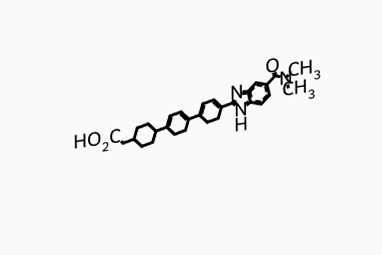 CN(C)C(=O)c1ccc2[nH]c(C3=CC=C(C4=CC=C(C5CCC(CC(=O)O)CC5)CC4)CC3)nc2c1